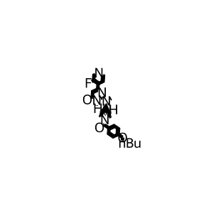 CCCCOc1ccc(C(=O)N2C[C@@H]3[C@H](C2)[C@H]3N(C)c2nc(-c3ccncc3F)cc(=O)n2C)cc1